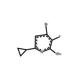 CC(C)(C)c1nc(C2CC2)cc(Br)c1F